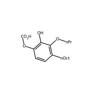 CCCCCCCCc1ccc(OC(=O)O)c(O)c1OCCC